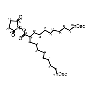 CCCCCCCCCCCCCCCCCCC(CCCCCCCCCCCCCCCCCC)C(=O)ON1C(=O)CCC1=O